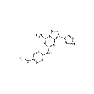 COc1ccc(Nc2cc(N)n3ncc(-c4cn[nH]c4)c3n2)cn1